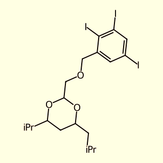 CC(C)CC1CC(C(C)C)OC(COCc2cc(I)cc(I)c2I)O1